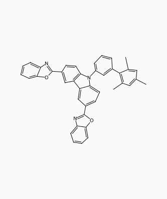 Cc1cc(C)c(-c2cccc(-n3c4ccc(-c5nc6ccccc6o5)cc4c4cc(-c5nc6ccccc6o5)ccc43)c2)c(C)c1